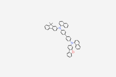 CC1(C)c2ccccc2-c2ccc(N(c3ccc(-c4ccc(N(c5ccc6c(c5)oc5ccccc56)c5cccc6ccccc56)cc4)cc3)c3cccc4ccccc34)cc21